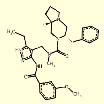 CCc1[nH]nc(NC(=O)c2cccc(OC)c2)c1CN(C)C(=O)N1C[C@@H]2CCCN2C[C@@H]1Cc1ccccc1